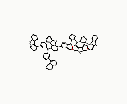 c1cc(-c2cccc3sc4ccccc4c23)cc(N(c2ccccc2-c2cccc3cc(-c4ccc(N(c5cccc(-c6cccc7ccccc67)c5)c5cccc(-c6cccc7sc8ccccc8c67)c5)c5c4oc4ccccc45)ccc23)c2cccc3oc4ccccc4c23)c1